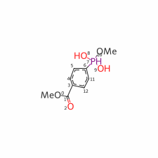 COC(=O)c1ccc([PH](O)(O)OC)cc1